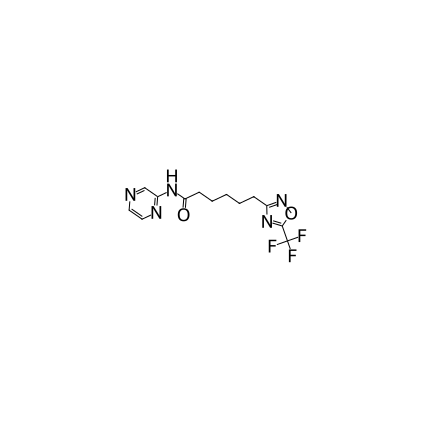 O=C(CCCCCc1noc(C(F)(F)F)n1)Nc1cnccn1